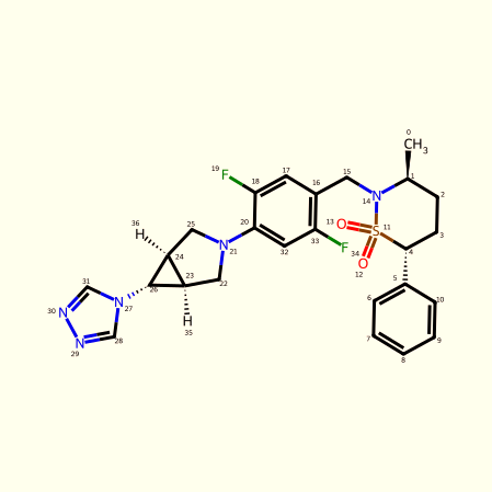 C[C@H]1CC[C@H](c2ccccc2)S(=O)(=O)N1Cc1cc(F)c(N2C[C@@H]3[C@H](C2)[C@H]3n2cnnc2)cc1F